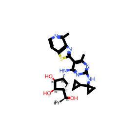 Cc1nc(NC2(C3CC3)CC2)nc(N[C@@H]2C[C@H]([C@@H](O)C(C)C)[C@@H](O)[C@H]2O)c1-c1nc2c(C)nccc2s1